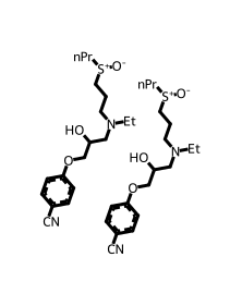 CCC[S+]([O-])CCCN(CC)CC(O)COc1ccc(C#N)cc1.CCC[S+]([O-])CCCN(CC)CC(O)COc1ccc(C#N)cc1